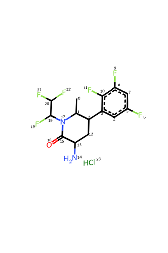 CC1C(c2cc(F)cc(F)c2F)CC(N)C(=O)N1C(F)C(F)F.Cl